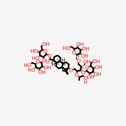 C=C1C[C@@]23CC[C@H]4[C@@](C)(CCC[C@@]4(C)C(=O)O[C@@H]4OC(CO)[C@@H](O)C(O)[C@@H]4OC4OC(CO)[C@@H](O)[C@@H](O)[C@@H]4O)[C@@H]2CC[C@]1(OCC(OC(C)CO)[C@@H](OC1OC(CO)[C@@H](O)[C@@H](O)[C@@H]1O)[C@@H](CO)COC[C@@H]1OC(CO)[C@@H](O)C(O)[C@@H]1O)C3